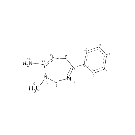 CN1CN=C(c2ccccc2)CC=C1N